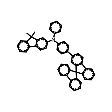 CC1(C)c2ccccc2-c2ccc(N(c3ccccc3)c3ccc(-c4ccc5c(c4)C4(c6ccccc6-c6ccccc64)c4ccccc4-5)cc3)cc21